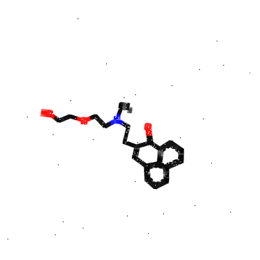 CN(CCOCCO)CCC1=Cc2cccc3cccc(c23)C1=O